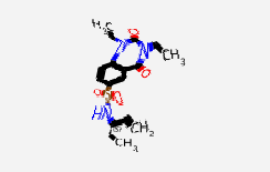 C=C[C@H](CC)NS(=O)(=O)c1ccc2c(c1)c(=O)n(CC)c(=O)n2CC